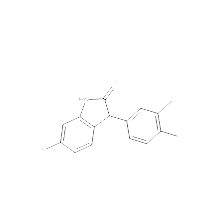 Cc1ccc(C2C(=O)Nc3cc(F)ccc32)cc1C